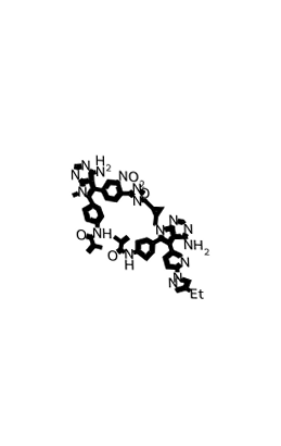 C=C(C)C(=O)Nc1ccc(-c2c(-c3ccc(-c4noc(C5CC5Cn5c(-c6ccc(NC(=O)C(=C)C)cc6)c(-c6ccc(-n7cc(CC)cn7)nc6)c6c(N)ncnc65)n4)c([N+](=O)[O-])c3)c3c(N)ncnc3n2C)cc1